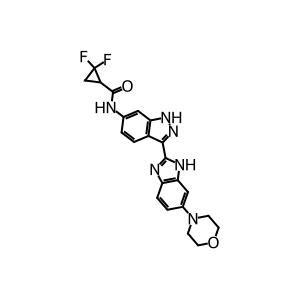 O=C(Nc1ccc2c(-c3nc4ccc(N5CCOCC5)cc4[nH]3)n[nH]c2c1)C1CC1(F)F